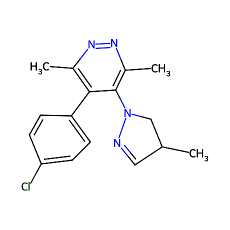 Cc1nnc(C)c(N2CC(C)C=N2)c1-c1ccc(Cl)cc1